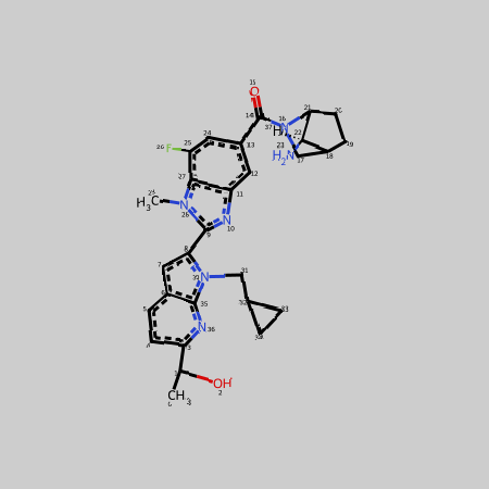 CC(O)c1ccc2cc(-c3nc4cc(C(=O)N5CC6CCC5[C@@H]6N)cc(F)c4n3C)n(CC3CC3)c2n1